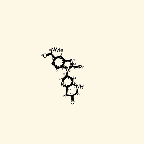 CNC(=O)c1ccc2c(c1)nc(C(C)C)n2-c1cnc2c(c1)NCC(=O)C2